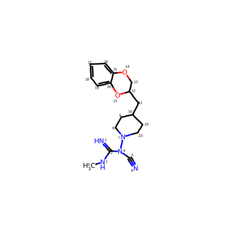 CNC(=N)N(C#N)N1CCC(CC2COc3ccccc3O2)CC1